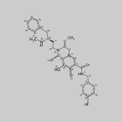 C/C=C1\Cn2cc(C(=O)NCc3ccc(F)cc3)c(=O)c(O)c2C(=O)N1CC[C@H](Cc1ccccc1)NC